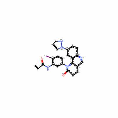 C=CC(=O)Nc1cc(-n2c(=O)ccc3cnc4ccc(N5C=CCN5)cc4c32)ccc1I